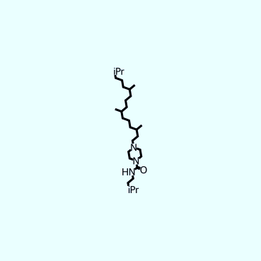 CC(C)CCCC(C)CCCC(C)CCCC(C)CCN1CCN(C(=O)NCCC(C)C)CC1